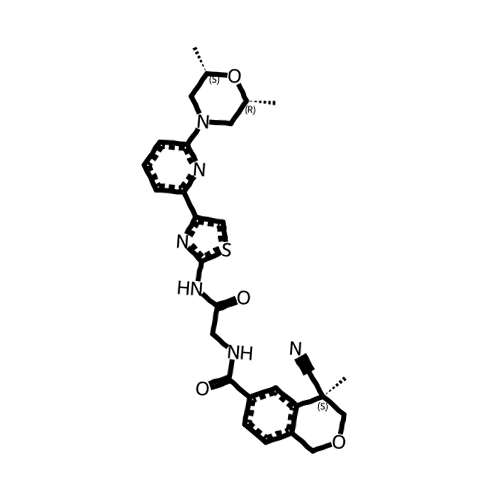 C[C@@H]1CN(c2cccc(-c3csc(NC(=O)CNC(=O)c4ccc5c(c4)[C@@](C)(C#N)COC5)n3)n2)C[C@H](C)O1